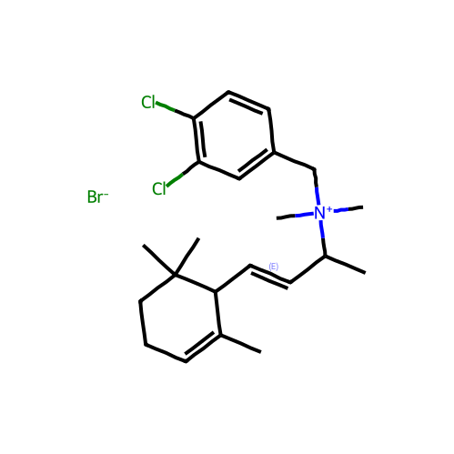 CC1=CCCC(C)(C)C1/C=C/C(C)[N+](C)(C)Cc1ccc(Cl)c(Cl)c1.[Br-]